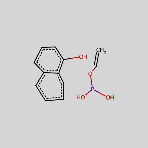 C=COP(O)O.Oc1cccc2ccccc12